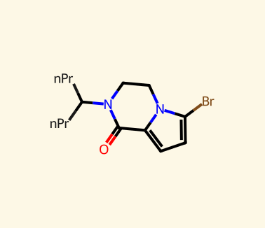 CCCC(CCC)N1CCn2c(Br)ccc2C1=O